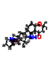 CC1(C)CC(=O)c2c(ccc3c4c([nH]c23)C(C)(C)C2C[C@]35CCCN3C[C@@]2(C4)NOC5)O1